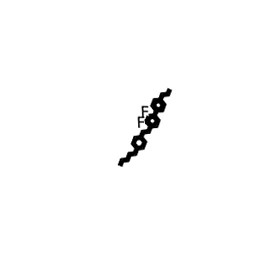 CCCCCC1CCC(CCc2ccc(-c3ccc(CCC)cc3)c(F)c2F)CC1